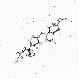 COc1ccc(C(N)CC2CCN(C(=O)OC(C)(C)C)CC2)cn1